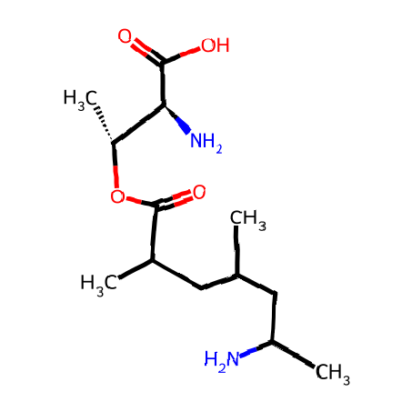 CC(N)CC(C)CC(C)C(=O)O[C@H](C)[C@H](N)C(=O)O